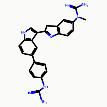 CN(C(=N)N)c1ccc2c(c1)CC(c1c[nH]c3ccc(-c4ccc(NC(=N)N)cc4)cc13)=N2